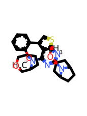 COc1ccccc1-c1csc2nc(N3C4CCC3CC(OC)C4)nc(N3C4CCC3COC4)c12